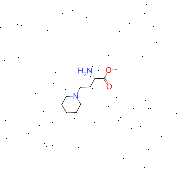 COC(=O)[C@@H](N)CCN1CCCCC1